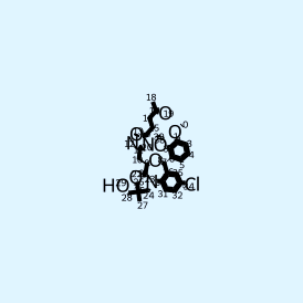 COc1cccc([C@H]2O[C@H](Cc3noc(CCC(C)=O)n3)C(=O)N(CC(C)(C)CO)c3ccc(Cl)cc32)c1OC